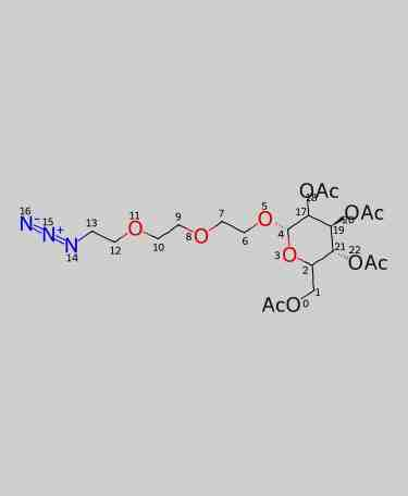 CC(=O)OCC1O[C@H](OCCOCCOCCN=[N+]=[N-])C(OC(C)=O)[C@@H](OC(C)=O)[C@@H]1OC(C)=O